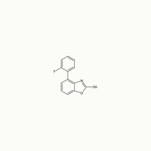 Fc1ccccc1-c1cccc2oc(S)nc12